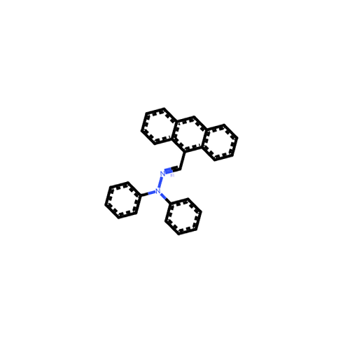 C(=N\N(c1ccccc1)c1ccccc1)/c1c2ccccc2cc2ccccc12